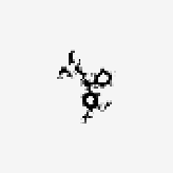 CCOC(CN=C(c1ccc(OC)c(OC)c1)C1CCCCC1)OCC